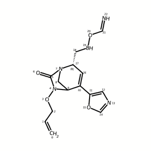 C=CCON1C(=O)N2CC1C(c1cnco1)=C[C@H]2CBOC=N